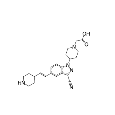 N#Cc1nn(C2CCN(CC(=O)O)CC2)c2ccc(C=CC3CCNCC3)cc12